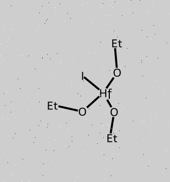 CC[O][Hf]([I])([O]CC)[O]CC